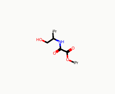 CC(C)OC(=O)C(=O)NC(CO)C(C)C